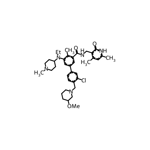 CCN(c1cc(-c2ccc(CN3CCCC(OC)C3)c(Cl)c2)cc(C(=O)NCc2c(C)cc(C)[nH]c2=O)c1C)C1CCN(C)CC1